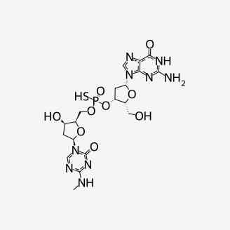 CNc1ncn([C@H]2C[C@@H](O)[C@@H](COP(=O)(S)O[C@@H]3C[C@H](n4cnc5c(=O)[nH]c(N)nc54)O[C@@H]3CO)O2)c(=O)n1